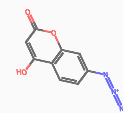 [N-]=[N+]=Nc1ccc2c(O)cc(=O)oc2c1